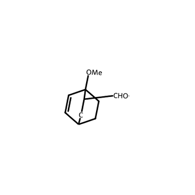 COC12C=CC(CC1)CC2[C]=O